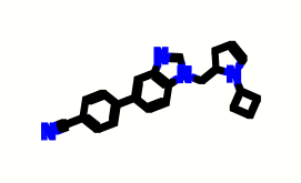 N#Cc1ccc(-c2ccc3c(c2)ncn3CC2CC=CN2C2CCC2)cc1